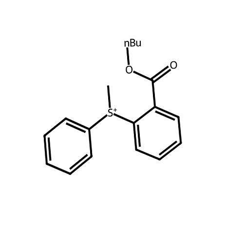 CCCCOC(=O)c1ccccc1[S+](C)c1ccccc1